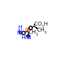 CC#CC(CC(=O)O)c1ccc(O[C@H](c2ccc3cn[nH]c3c2)C(C)c2cn[nH]c2)cc1